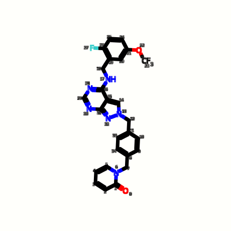 O=c1ccccn1Cc1ccc(Cn2cc3c(NCc4cc(OC(F)(F)F)ccc4F)ncnc3n2)cc1